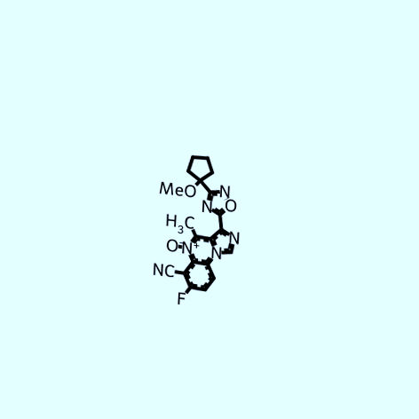 COC1(c2noc(-c3ncn4c3c(C)[n+]([O-])c3c(C#N)c(F)ccc34)n2)CCCC1